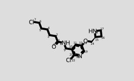 O=C(CCCCCCl)NCc1cc(OC[C@@H]2CCN2)cnc1Cl